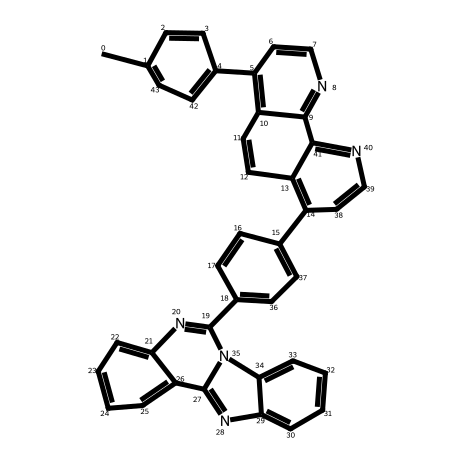 Cc1ccc(-c2ccnc3c2ccc2c(-c4ccc(-c5nc6ccccc6c6nc7ccccc7n56)cc4)ccnc23)cc1